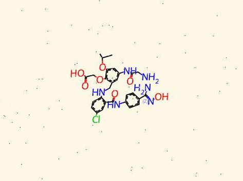 CC(C)Oc1cc(NC(=O)CN)cc(CNc2ccc(Cl)cc2C(=O)Nc2ccc(/C(N)=N/O)cc2)c1OCC(=O)O